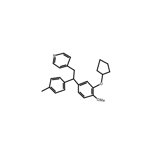 COc1ccc(C(Cc2ccncc2)c2ccc(C)cc2)cc1OC1CCCC1